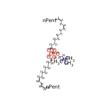 CCCCC/C=C\C/C=C\CCCCCCCC(=O)OP(=O)(OCC[N+](C)(C)C)OC(=O)CCCCCCC/C=C\C/C=C\CCCCC